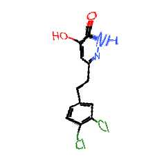 O=c1[nH]nc(CCc2ccc(Cl)c(Cl)c2)cc1O